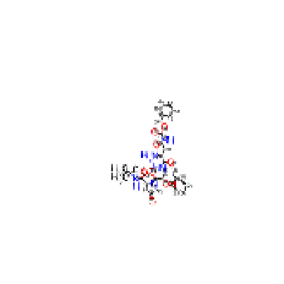 CC(C)(C)NC(=O)[C@@H]1CC(=O)CN1C(=O)[C@@H](O)[C@H](Cc1ccccc1)NC(=O)[C@@H](N)CC(=O)NC(=O)OCc1ccccc1